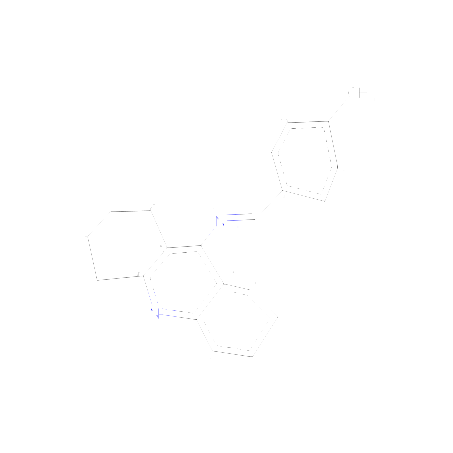 Cc1ccc(/C=N/c2c3c(nc4ccccc24)CCCC3)cc1